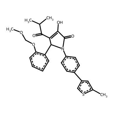 COCOc1ccccc1C1C(C(=O)C(C)C)=C(O)C(=O)N1c1ccc(-c2csc(C)c2)cc1